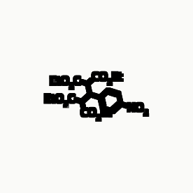 CCOC(=O)C(C(=O)OCC)C(c1ccc([N+](=O)[O-])cc1)C(C(=O)OCC)C(=O)OCC